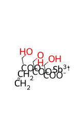 C=C.O=C([O-])CO.O=C([O-])CO.O=C([O-])CO.[Sb+3]